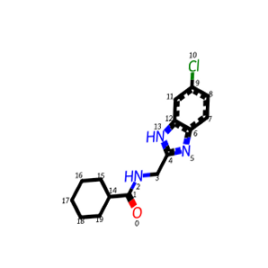 O=C(NCc1nc2ccc(Cl)cc2[nH]1)C1CCCCC1